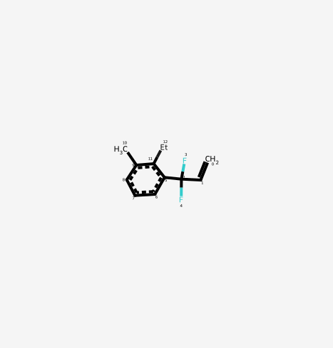 C=CC(F)(F)c1cccc(C)c1CC